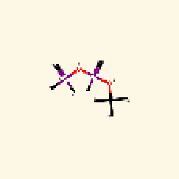 C=P(C)(C)OP(=C)(C)OC(C)(C)C